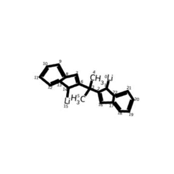 [Li][CH]1C(C(C)(C)C2=Cc3ccccc3[CH]2[Li])=Cc2ccccc21